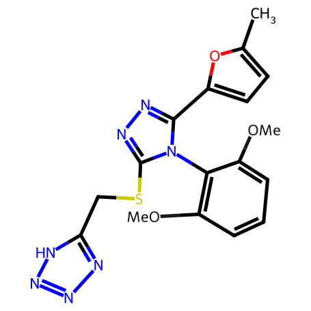 COc1cccc(OC)c1-n1c(SCc2nnn[nH]2)nnc1-c1ccc(C)o1